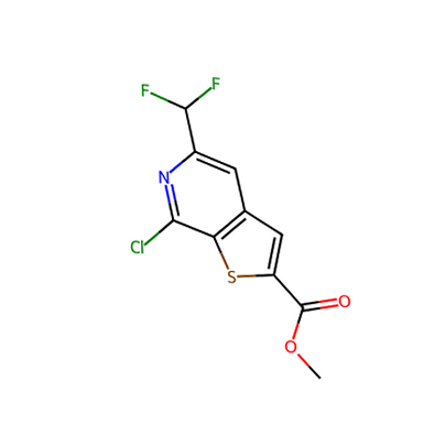 COC(=O)c1cc2cc(C(F)F)nc(Cl)c2s1